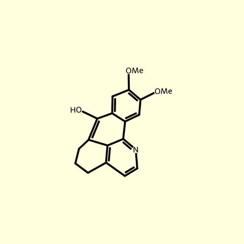 COc1cc2c(O)c3c4c(ccnc4c2cc1OC)CCC3